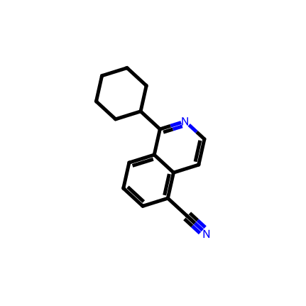 N#Cc1cccc2c(C3CCCCC3)nccc12